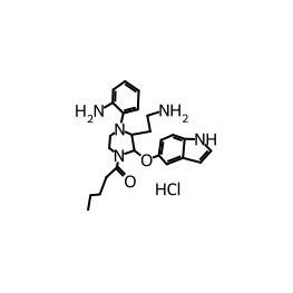 CCCCC(=O)N1CCN(c2ccccc2N)C(CCN)C1Oc1ccc2[nH]ccc2c1.Cl